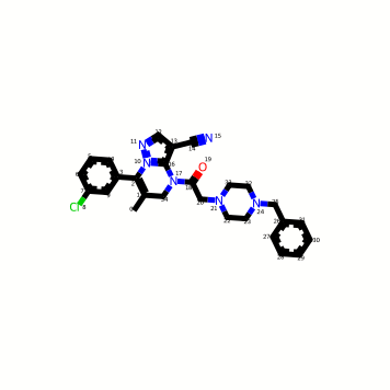 CC1=C(c2cccc(Cl)c2)n2ncc(C#N)c2N(C(=O)CN2CCN(Cc3ccccc3)CC2)C1